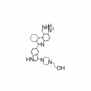 N=Cc1c(N)ccc2nc(-c3ccc4[nH]cc(N5CCN(CCO)CC5)c4c3)c3c(c12)CCCC3